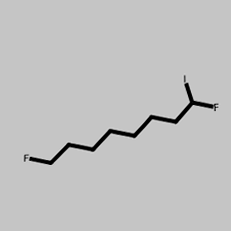 FCCCCCCCC(F)I